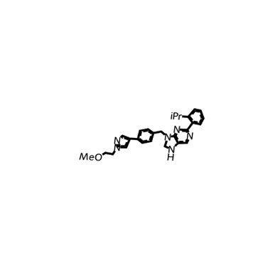 COCCn1cc(-c2ccc(CN3CNc4cnc(-c5ccccc5C(C)C)nc43)cc2)cn1